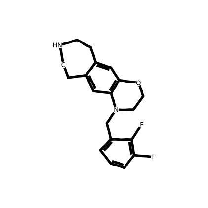 Fc1cccc(CN2CCOc3cc4c(cc32)CCNCC4)c1F